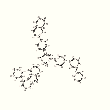 c1ccc(-c2cccc(-c3ccc(-c4nc(-c5ccc(-c6ccc7ccccc7c6)cc5)nc(-c5ccc6c(c5)oc5cccc(-c7ccccc7)c56)n4)cc3)c2)cc1